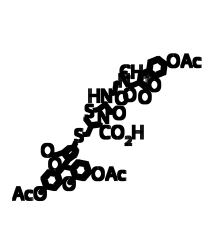 CC(=O)Oc1ccc2c(c1)Oc1cc(OC(C)=O)ccc1C21OC(=O)c2cc(SCC3=C(C(=O)O)N4C(=O)C(NC(=O)CN(C)C(=O)c5cc6ccc(OC(C)=O)cc6oc5=O)C4SC3)ccc21